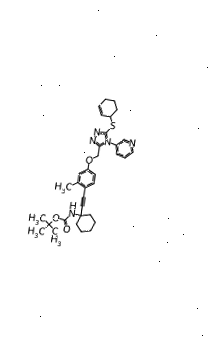 Cc1cc(OCc2nnc(SC3C=CCCC3)n2-c2cccnc2)ccc1C#CC1(NC(=O)OC(C)(C)C)CCCCC1